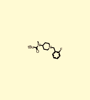 CN(C(=O)C(C)(C)C)C1CCN(Cc2ccccc2F)CC1